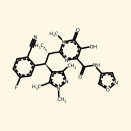 Cc1nn(C)c(C)c1[C@@H](c1cc(F)ccc1C#N)[C@H](C)c1nc(C(=O)Nc2cnoc2)c(O)c(=O)n1C